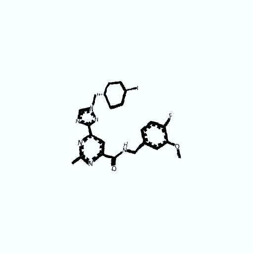 COc1cc(CNC(=O)c2cc(-c3ncn(C[C@H]4CC[C@H](I)CC4)n3)nc(C)n2)ccc1F